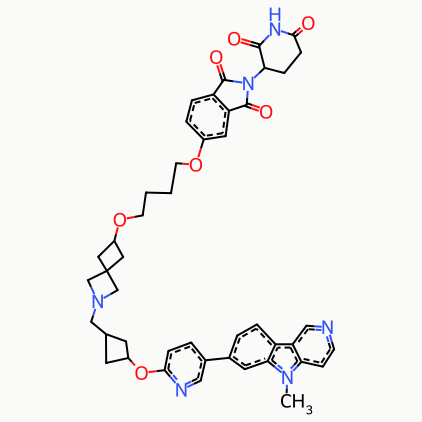 Cn1c2ccncc2c2ccc(-c3ccc(OC4CC(CN5CC6(CC(OCCCCOc7ccc8c(c7)C(=O)N(C7CCC(=O)NC7=O)C8=O)C6)C5)C4)nc3)cc21